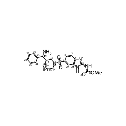 COC(=O)Nc1nc2ccc(S(=O)(=O)N(CC(C)C)C[C@@H](O)C(N)c3ccccc3)cc2[nH]1